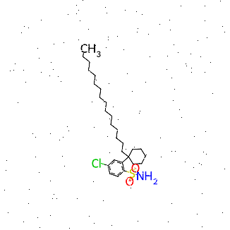 CCCCCCCCCCCCCCCCC1(c2cc(Cl)ccc2S(N)(=O)=O)CCCCC1